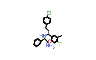 Cc1cc([C@@H](CCc2ccc(Cl)cc2)N[C@@H](C(N)=O)c2ccccc2)ccc1F